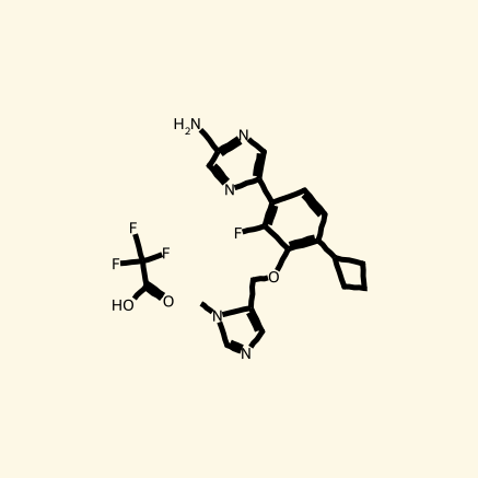 Cn1cncc1COc1c(C2CCC2)ccc(-c2cnc(N)cn2)c1F.O=C(O)C(F)(F)F